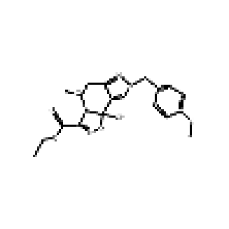 CCOC(=O)C1=NOC2(O)c3cn(Cc4ccc(OC)cc4)nc3C[C@H](C)C12